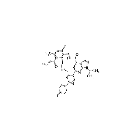 C=CC(=O)n1c(C)cc(=O)c(CNC(=O)c2cc(-c3ccc(N4CCN(I)CC4)nc3)nc3c2cnn3C(C)C)c1CCC